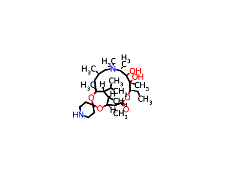 CC[C@H]1OC(=O)[C@H](C)[C@H]2OC3(CCNCC3)O[C@@](C)(C[C@@H](C)CN(C)[C@H](C)[C@@H](O)[C@]1(C)O)[C@H](C(C)C)[C@H]2C